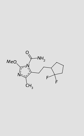 COc1nc(C)c(CCC2CCCC2(F)F)n1C(N)=O